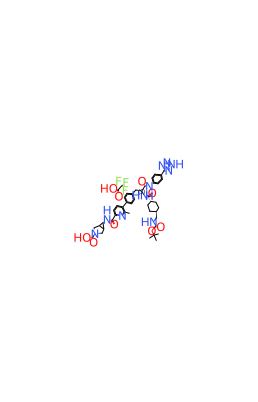 Cc1nc(C(=O)NC2C3CN(C(=O)O)CC32)ccc1-c1ccc(C[C@H](NC(=O)[C@H]2CC[C@H](CNC(=O)OC(C)(C)C)CC2)C(=O)Nc2ccc(-c3nn[nH]n3)cc2)cc1.O=C(O)C(F)(F)F